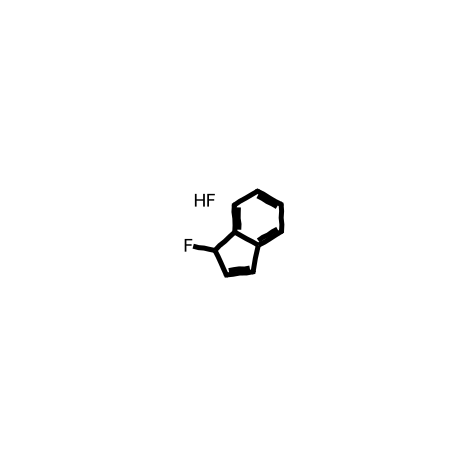 F.FC1C=Cc2ccccc21